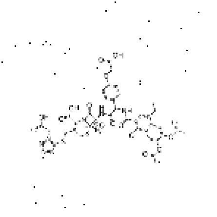 CCn1cc(C(=O)NC(C(=O)N[C@]2(OC)C(=O)N3C(C(=O)O)=C(CSc4nnnn4CC(=O)O)CS[C@H]32)c2ccc(OCC(=O)O)cc2)c(=O)c2cc(OC(C)=O)c(OC(C)=O)cc21